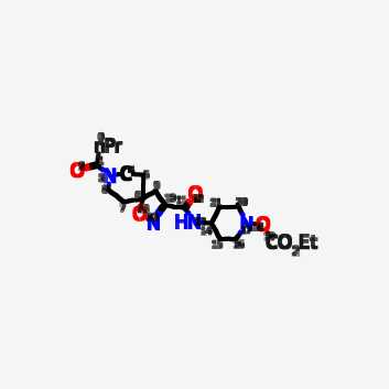 CCCC(=O)N1CCC2(CC1)CC(C(=O)NC1CCN(OC(=O)OCC)CC1)=NO2